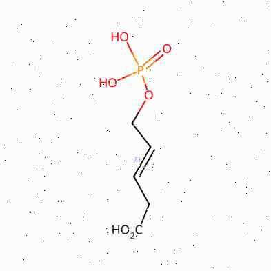 O=C(O)C/C=C/COP(=O)(O)O